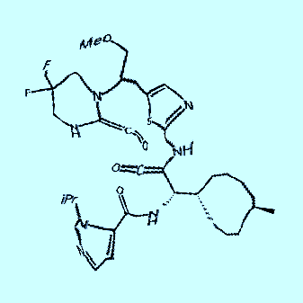 COCC(c1cnc(NC(=C=O)[C@@H](NC(=O)c2ccnn2C(C)C)[C@H]2CC[C@H](C)CC2)s1)N1CC(F)(F)CNC1=C=O